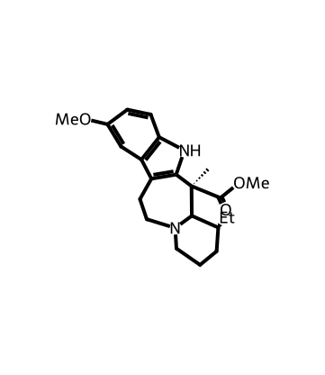 CC[C@H]1CCCN2CCc3c([nH]c4ccc(OC)cc34)[C@@](C)(C(=O)OC)C12